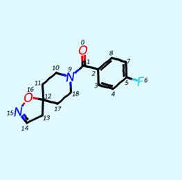 O=C(c1ccc(F)cc1)N1CCC2(CC=NO2)CC1